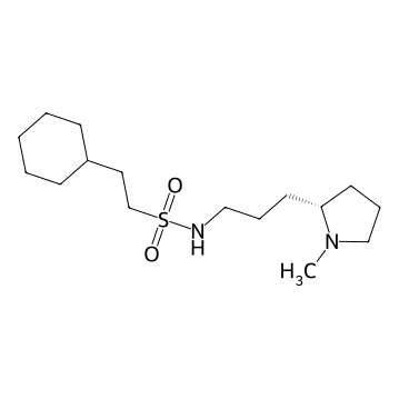 CN1CCC[C@H]1CCCNS(=O)(=O)CCC1CCCCC1